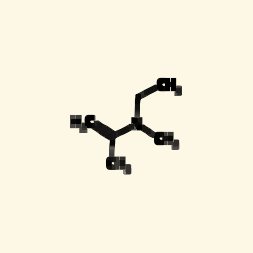 C=C(C)N(C)CC